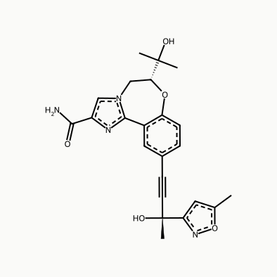 Cc1cc([C@](C)(O)C#Cc2ccc3c(c2)-c2nc(C(N)=O)cn2C[C@H](C(C)(C)O)O3)no1